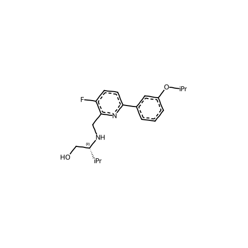 CC(C)Oc1cccc(-c2ccc(F)c(CN[C@@H](CO)C(C)C)n2)c1